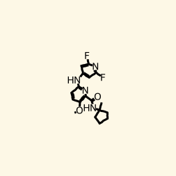 COc1ccc(Nc2cc(F)nc(F)c2)nc1C(=O)NC1(C)CCCC1